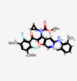 COc1cc(OC)c(F)c(C(=O)c2oc3cnc(Nc4c(C)cccc4[N+](=O)[O-])cc3c2N(C(=O)OC(C)(C)C)C2CC2)c1F